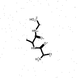 CCC(N)C(=O)NC(C)C(=O)NCC(=O)O